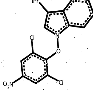 CC(C)c1cn(Oc2c(Cl)cc([N+](=O)[O-])cc2Cl)c2ccccc12